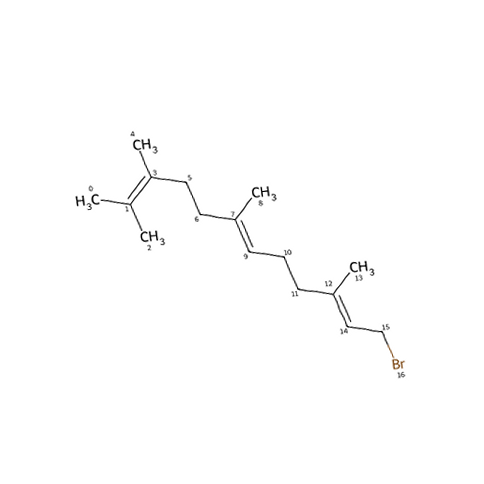 CC(C)=C(C)CC/C(C)=C/CC/C(C)=C/CBr